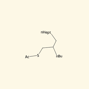 CCCCCCCCC(CCCC)CSC(C)=O